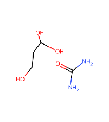 NC(N)=O.OCCC(O)O